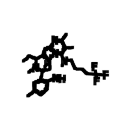 CCC(c1cc2nc(C)c(C)c(N(C)CCCCC(F)(F)F)n2n1)N(C)C(=O)c1cc(C)ccc1NC